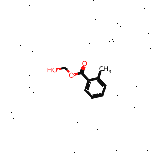 Cc1ccccc1C(=O)OCO